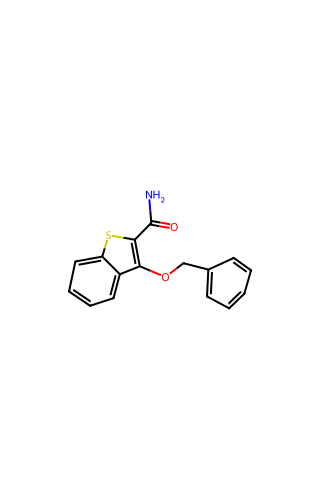 NC(=O)c1sc2ccccc2c1OCc1ccccc1